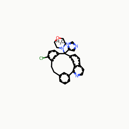 Cn1cncc1C1(N2CCOCC2)c2ccc(Cl)c(c2)CCc2cccc(c2)-c2nccc3ccc1cc23